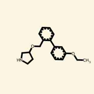 CCOc1cccc(-c2ccccc2COC2CCNC2)c1